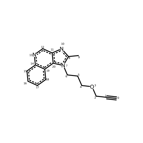 C#CCOCCCn1c(C)nc2cnc3ccccc3c21